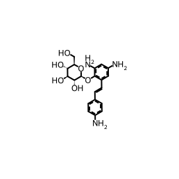 Nc1ccc(/C=C/c2cc(N)cc(N)c2O[C@@H]2O[C@H](CO)[C@@H](O)[C@H](O)[C@H]2O)cc1